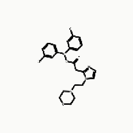 O=C(Cc1nccn1CCN1CCOCC1)OB(c1cccc(Cl)c1)c1cccc(Cl)c1